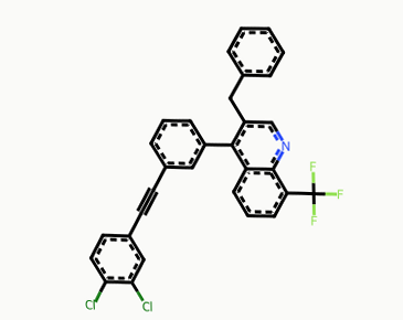 FC(F)(F)c1cccc2c(-c3cccc(C#Cc4ccc(Cl)c(Cl)c4)c3)c(Cc3ccccc3)cnc12